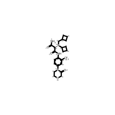 NC(=O)[C@@H](C(=O)Nc1ccc(N2CCOCC2=O)cc1C(F)(F)F)N(CC1CCC1)C1CCC1